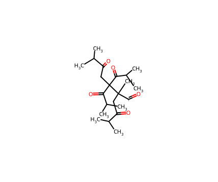 CC(C)C(=O)CC(C)([C]=O)C(CC(=O)C(C)C)(C(=O)C(C)C)C(=O)C(C)C